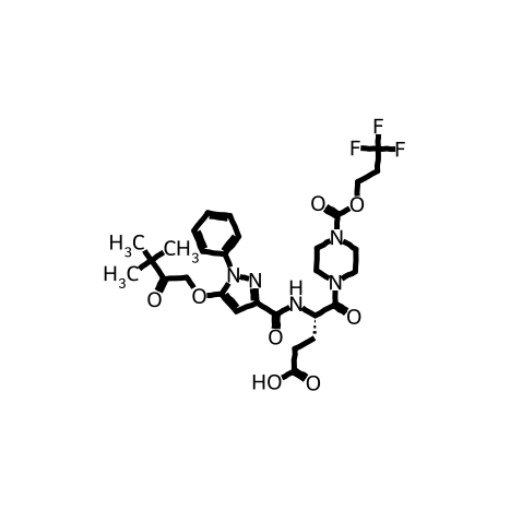 CC(C)(C)C(=O)COc1cc(C(=O)N[C@@H](CCC(=O)O)C(=O)N2CCN(C(=O)OCCC(F)(F)F)CC2)nn1-c1ccccc1